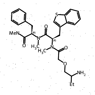 CCC(N)COCC(=O)N(C)[C@H](Cc1csc2ccccc12)C(=O)N(C)[C@H](Cc1ccccc1)C(=O)NC